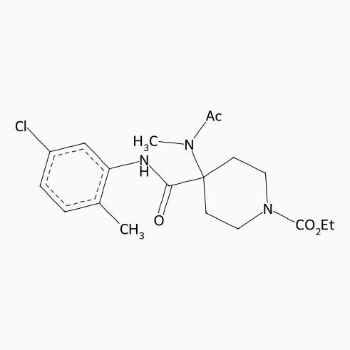 CCOC(=O)N1CCC(C(=O)Nc2cc(Cl)ccc2C)(N(C)C(C)=O)CC1